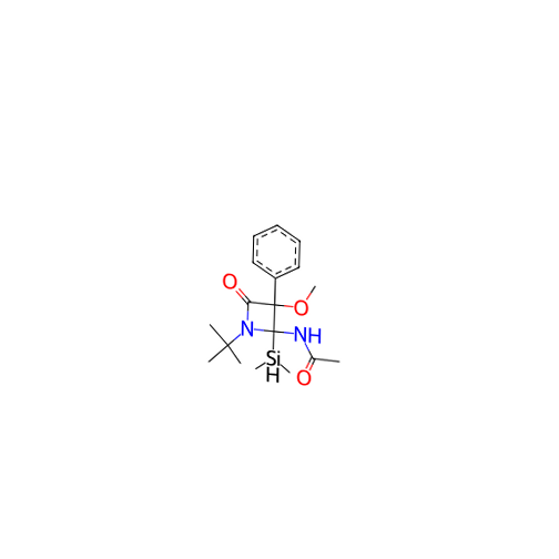 COC1(c2ccccc2)C(=O)N(C(C)(C)C)C1(NC(C)=O)[SiH](C)C